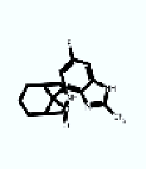 CCOC1(c2cc(F)cc3[nH]c(C(F)(F)F)nc23)C2CCCC1CNC2